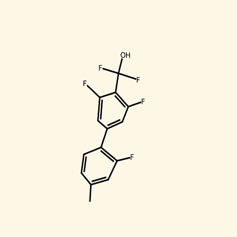 Cc1ccc(-c2cc(F)c(C(O)(F)F)c(F)c2)c(F)c1